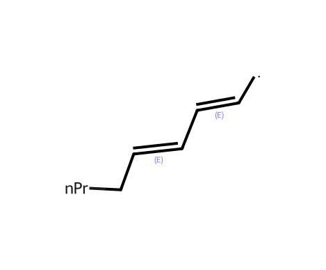 [CH2]/C=C/C=C/CCCC